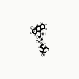 Cc1oc(/[SH](=O)=N/C(=O)Nc2c3c(cc4c2CC[C@H]4C)CCC3)cc1C(C)(C)O